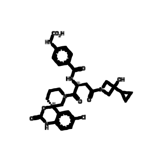 O=C(O)Nc1ccc(C(=O)N[C@@H](CC(=O)N2CC(O)(C3CC3)C2)C(=O)N2CCC[C@@]3(C2)OC(=O)Nc2ccc(Cl)cc23)cc1